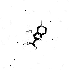 Cl.O=C(O)c1cc2c(s1)CCNC2